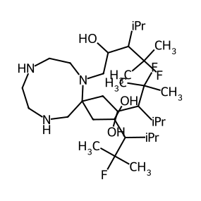 CC(C)C(C(O)CN1CCNCCNCC1(CC(O)C(C(C)C)C(C)(C)F)CC(O)C(C(C)C)C(C)(C)F)C(C)(C)F